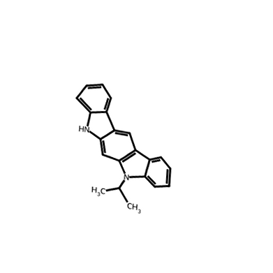 CC(C)n1c2ccccc2c2cc3c(cc21)[nH]c1ccccc13